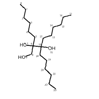 CCCCCCC(O)(CO)C(O)(CCCCCC)CCCCCC